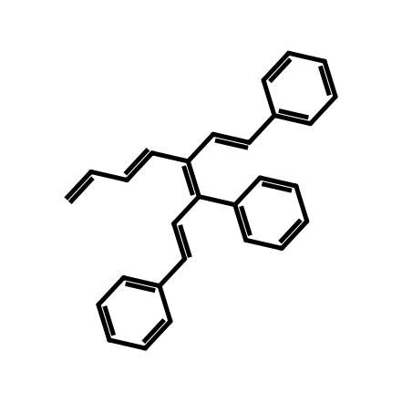 C=CC=CC(C=Cc1ccccc1)=C(C=Cc1ccccc1)c1ccccc1